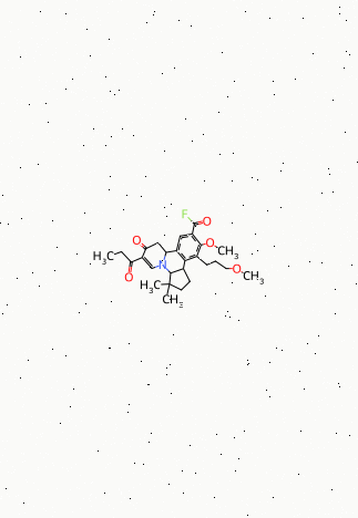 CCC(=O)C1=CN2C(CC1=O)c1cc(C(=O)F)c(OC)c(CCCOC)c1C1CCC(C)(C)C12